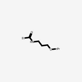 [CH2]CCOCCCNC(=O)CC